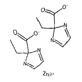 CCC1(C(=O)[O-])N=CC=N1.CCC1(C(=O)[O-])N=CC=N1.[Zn+2]